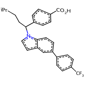 CC(C)CCC(c1ccc(C(=O)O)cc1)n1ccc2cc(-c3ccc(C(F)(F)F)cc3)ccc21